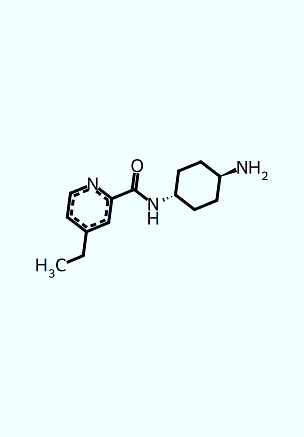 CCc1ccnc(C(=O)N[C@H]2CC[C@H](N)CC2)c1